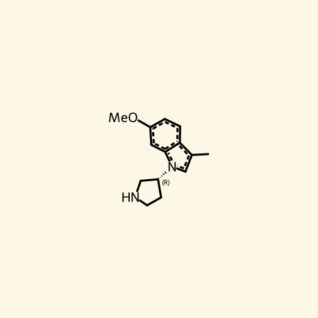 COc1ccc2c(C)cn([C@@H]3CCNC3)c2c1